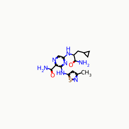 Cc1cc(Nc2nc(NC(CC3CC3)C(N)=O)cnc2C(N)=O)sn1